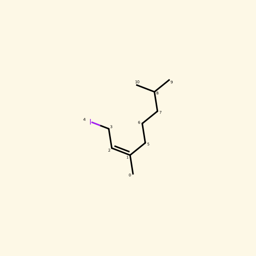 CC(=CCI)CCCC(C)C